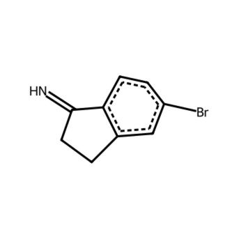 N=C1CCc2cc(Br)ccc21